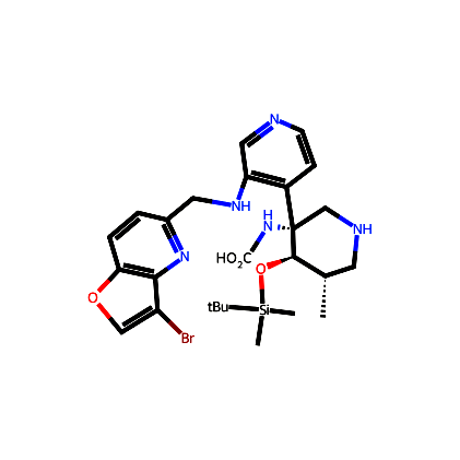 C[C@H]1CNC[C@](NC(=O)O)(c2ccncc2NCc2ccc3occ(Br)c3n2)[C@@H]1O[Si](C)(C)C(C)(C)C